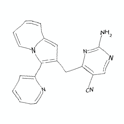 N#Cc1cnc(N)nc1Cc1cc2ccccn2c1-c1ccccn1